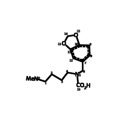 CNCCCCN(Cc1ccc2c(c1)OCO2)C(=O)O